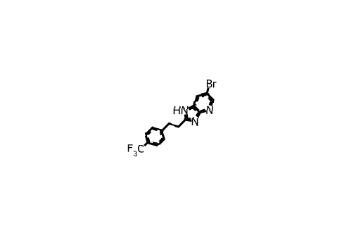 FC(F)(F)c1ccc(CCc2nc3ncc(Br)cc3[nH]2)cc1